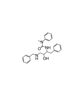 CN(C(=O)NC(Cc1ccccc1)C(O)CNCc1ccccc1)c1ccccc1